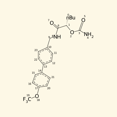 CCCC[C@H](OC(N)=O)C(=O)NCc1ccc(-c2ccc(OC(F)(F)F)cc2)cc1